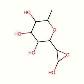 CC1OC(C2OC2O)C(O)C(O)C1O